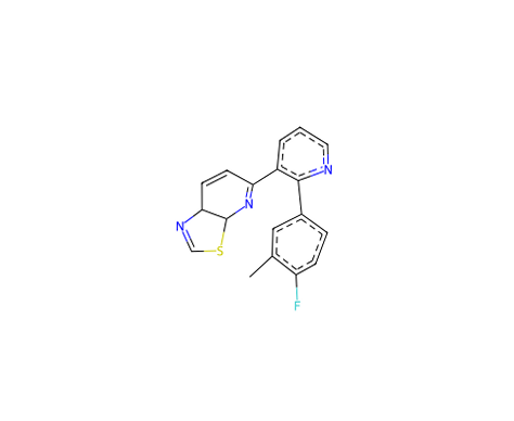 Cc1cc(-c2ncccc2C2=NC3SC=NC3C=C2)ccc1F